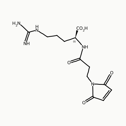 N=C(N)NCCC[C@H](NC(=O)CCN1C(=O)C=CC1=O)C(=O)O